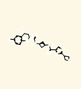 O=C(NC12CC(NC(=O)[C@H]3C[C@@H](O)c4cc(Cl)ccc4O3)(C1)C2)c1cnc(C2CNC2)o1